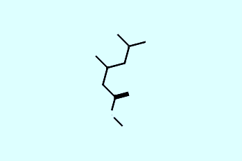 CNC(=O)CC(C)CC(C)C